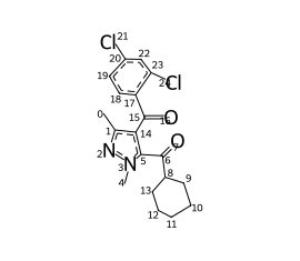 Cc1nn(C)c(C(=O)C2CCCCC2)c1C(=O)c1ccc(Cl)cc1Cl